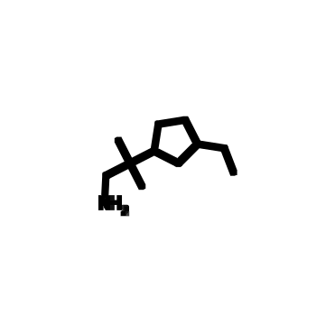 CCC1CCC(C(C)(C)CN)C1